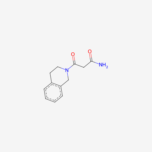 NC(=O)CC(=O)N1CCc2ccccc2C1